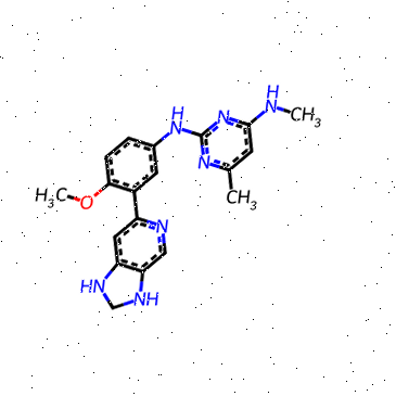 CNc1cc(C)nc(Nc2ccc(OC)c(-c3cc4c(cn3)NCN4)c2)n1